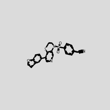 N#Cc1ccc(S(=O)(=O)N2CCSc3c(-c4ccc5occc5c4)cncc32)cc1